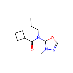 CCCN(C(=O)C1CCC1)C1OC=NN1C